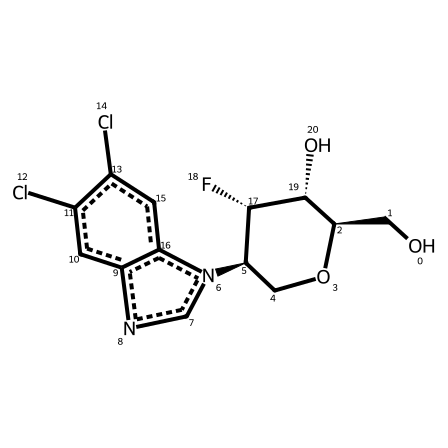 OC[C@H]1OC[C@@H](n2cnc3cc(Cl)c(Cl)cc32)[C@H](F)[C@@H]1O